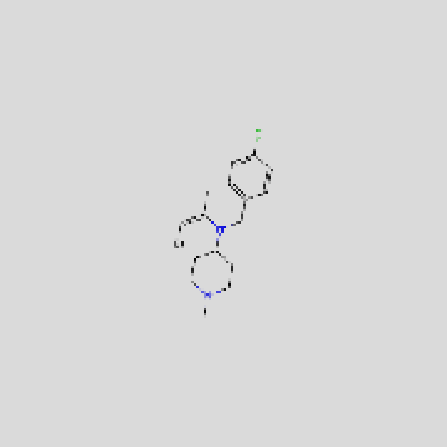 CC/C=C(/C)N(Cc1ccc(Cl)cc1)C1CCN(C)CC1